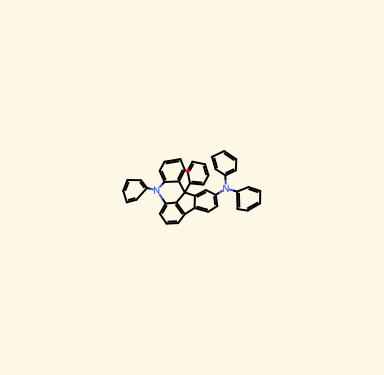 c1ccc(N(c2ccccc2)c2ccc3c(c2)C2(c4ccccc4)c4ccccc4N(c4ccccc4)c4cccc-3c42)cc1